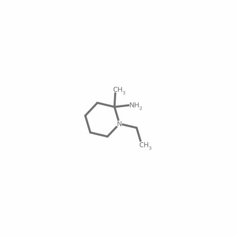 CCN1CCCCC1(C)N